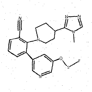 Cn1cnnc1C1CCN(c2c(C#N)cccc2-c2cncc(OSF)c2)CC1